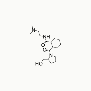 CN(C)CCNC(=O)C1CCCCC1C(=O)N1CCCC1CO